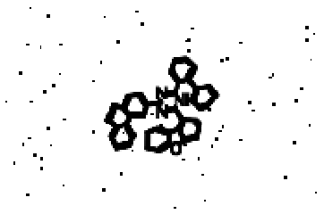 c1ccc(-c2ccccc2C2=NC(c3ccc4ccc5ccccc5c4c3)=NC(c3cccc4oc5ccccc5c34)N2)cc1